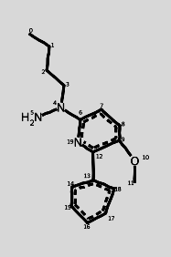 CCCCN(N)c1ccc(OC)c(-c2ccccc2)n1